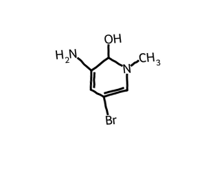 CN1C=C(Br)C=C(N)C1O